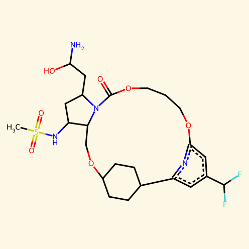 CS(=O)(=O)NC1CC(CC(N)O)N2C(=O)OCCCOc3cc(C(F)F)cc(n3)C3CCC(CC3)OCC12